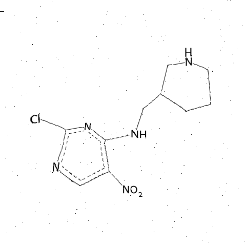 O=[N+]([O-])c1cnc(Cl)nc1NCC1CCCNC1